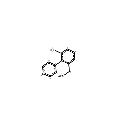 Cc1cccc(CC=O)c1-c1ccncc1